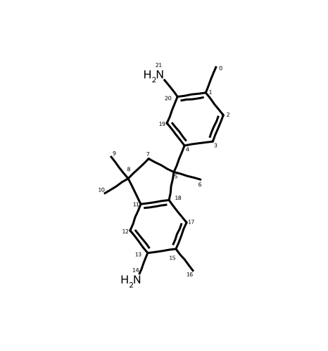 Cc1ccc(C2(C)CC(C)(C)c3cc(N)c(C)cc32)cc1N